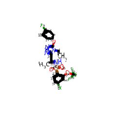 CCn1c(Oc2ccc(F)cc2)nnc1[C@@H](C)NS(=O)(=O)c1ccc(Br)cc1OC(F)(F)F